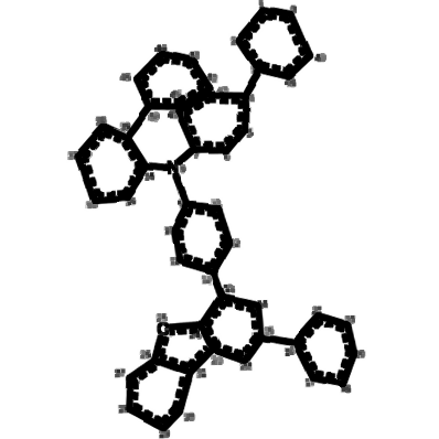 c1ccc(-c2ccc(N(c3ccc(-c4cc(-c5ccccc5)cc5c4oc4ccccc45)cc3)c3ccccc3-c3ccccc3)cc2)cc1